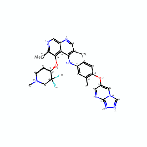 COc1ncc2ncc(C#N)c(Nc3ccc(Oc4cnc5nncn5c4)c(C)c3)c2c1O[C@@H]1CCN(C)CC1(F)F